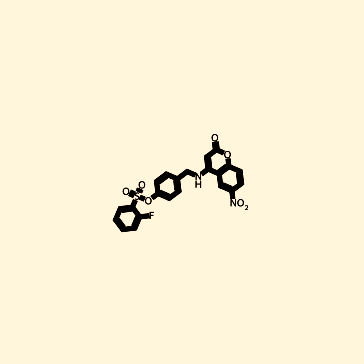 O=c1cc(NCc2ccc(OS(=O)(=O)c3ccccc3F)cc2)c2cc([N+](=O)[O-])ccc2o1